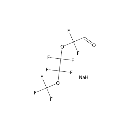 O=CC(F)(F)OC(F)(F)C(F)(F)OC(F)(F)F.[NaH]